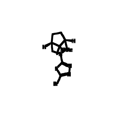 CC(=O)NC1(C)[C@@H]2CC[C@H]1CN(c1nnc(Br)s1)C2